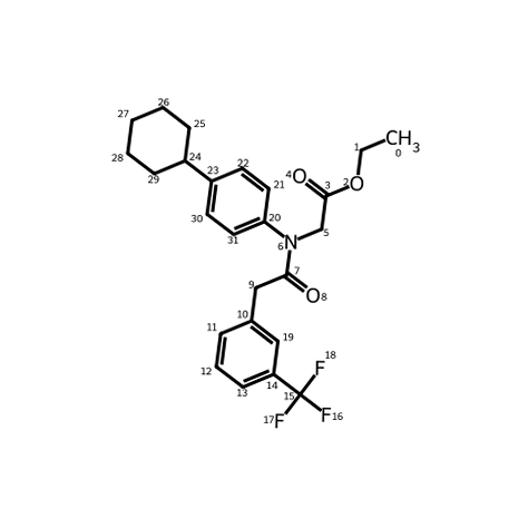 CCOC(=O)CN(C(=O)Cc1cccc(C(F)(F)F)c1)c1ccc(C2CCCCC2)cc1